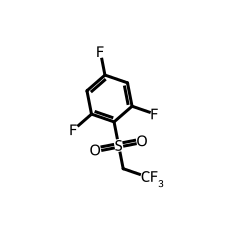 O=S(=O)(CC(F)(F)F)c1c(F)cc(F)cc1F